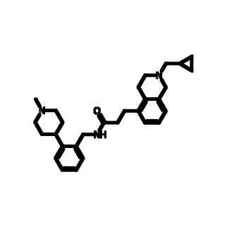 CN1CCC(c2ccccc2CNC(=O)CCc2cccc3c2CCN(CC2CC2)C3)CC1